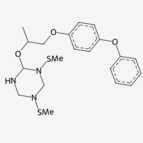 CSN1CNC(OC(C)COc2ccc(Oc3ccccc3)cc2)N(SC)C1